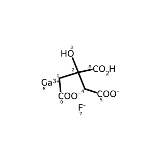 O=C([O-])CC(O)(CC(=O)[O-])C(=O)O.[F-].[Ga+3]